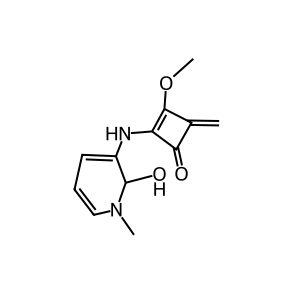 C=C1C(=O)C(NC2=CC=CN(C)C2O)=C1OC